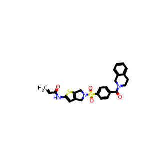 C=CC(=O)Nc1cc2c(s1)CN(S(=O)(=O)c1ccc(C(=O)N3CCc4ccccc4C3)cc1)C2